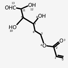 C=CC(=O)OCCC(O)C(O)C(O)C=O